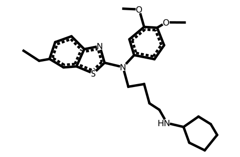 CCc1ccc2nc(N(CCCCNC3CCCCC3)c3ccc(OC)c(OC)c3)sc2c1